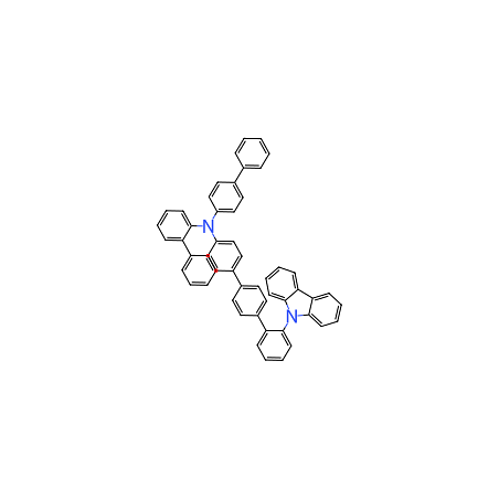 c1ccc(-c2ccc(N(c3ccc(-c4ccc(-c5ccccc5-n5c6ccccc6c6ccccc65)cc4)cc3)c3ccccc3-c3ccccc3)cc2)cc1